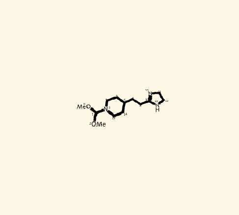 COC(OC)N1CCC(CCC2=NCCN2)CC1